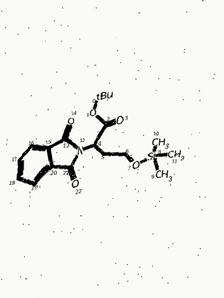 CC(C)(C)OC(=O)C(CCO[Si](C)(C)C)N1C(=O)c2ccccc2C1=O